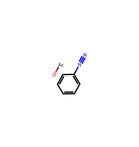 CC(=O)[O-].N#[N+]c1ccccc1